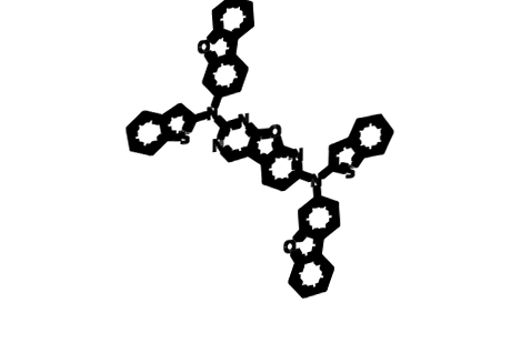 c1ccc2sc(N(c3ccc4c(c3)oc3ccccc34)c3ccc4c(n3)oc3nc(N(c5ccc6c(c5)oc5ccccc56)c5cc6ccccc6s5)ncc34)cc2c1